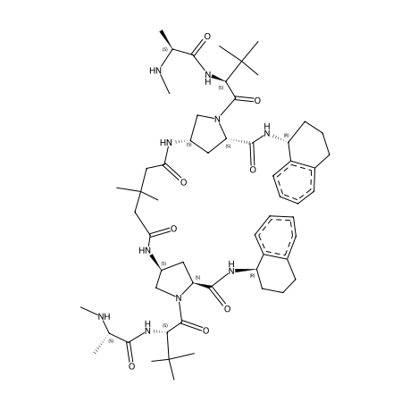 CN[C@@H](C)C(=O)N[C@H](C(=O)N1C[C@@H](NC(=O)CC(C)(C)CC(=O)N[C@H]2C[C@@H](C(=O)N[C@@H]3CCCc4ccccc43)N(C(=O)[C@@H](NC(=O)[C@H](C)NC)C(C)(C)C)C2)C[C@H]1C(=O)N[C@@H]1CCCc2ccccc21)C(C)(C)C